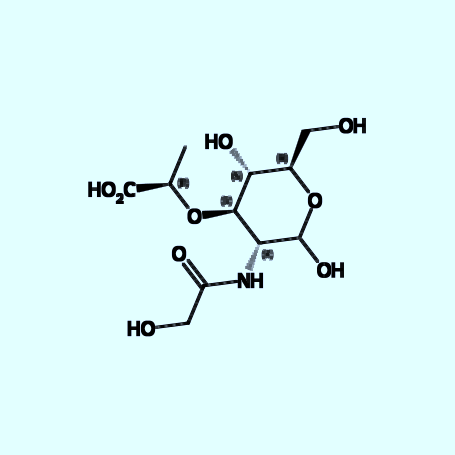 C[C@@H](O[C@H]1[C@H](O)[C@@H](CO)OC(O)[C@@H]1NC(=O)CO)C(=O)O